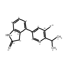 CC(C)c1ncc(-c2cccc3c2CC(=O)N3)cc1F